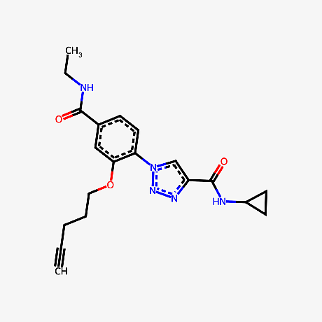 C#CCCCOc1cc(C(=O)NCC)ccc1-n1cc(C(=O)NC2CC2)nn1